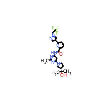 Cc1nc(NC(=O)c2cccc(-c3cnn(CC(F)(F)F)c3)n2)cc(N2CC[C@@H](C(C)(C)O)C2)n1